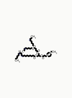 CC/C=C\CCCCOC(CCC(=O)OCC(COC(=O)CCCCCCC/C=C\C/C=C\CCCCC)COC(=O)CCN1CCCN(CC)CC1)OCCCC/C=C\CC